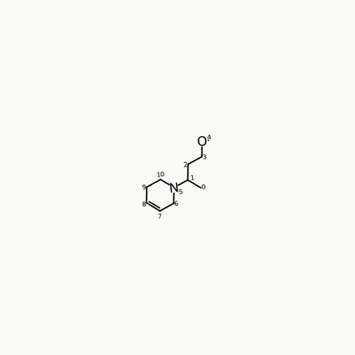 CC(CC[O])N1CC=CCC1